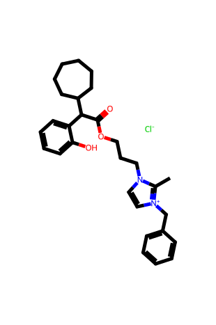 Cc1n(CCCOC(=O)C(c2ccccc2O)C2CCCCCC2)cc[n+]1Cc1ccccc1.[Cl-]